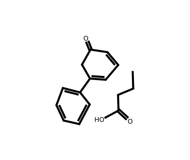 CCCC(=O)O.O=C1C=CC=C(c2ccccc2)C1